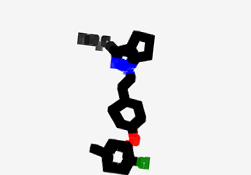 CCOC(=O)c1nn(CCC2CCC(Oc3cc(C)ccc3Cl)CC2)c2c1CCC2